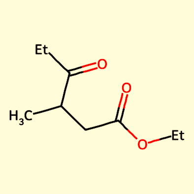 CCOC(=O)CC(C)C(=O)CC